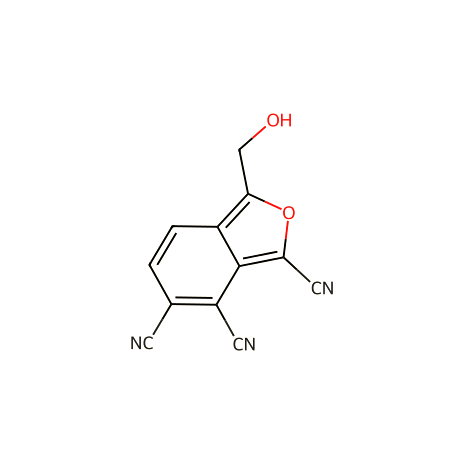 N#Cc1ccc2c(CO)oc(C#N)c2c1C#N